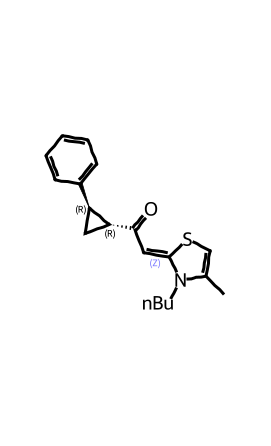 CCCCN1C(C)=CS/C1=C\C(=O)[C@@H]1C[C@H]1c1ccccc1